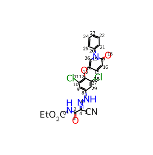 CCOC(=O)NC(=O)/C(C#N)=N/Nc1cc(Cl)c(Oc2ccc(=O)n(-c3ccccc3)c2)c(Cl)c1